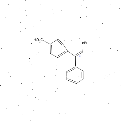 CCCC/C=C(/c1ccccc1)c1ccc(C(=O)O)cc1